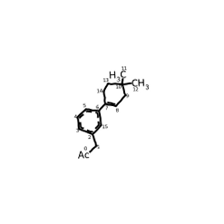 CC(=O)Cc1cccc(C2=CCC(C)(C)CC2)c1